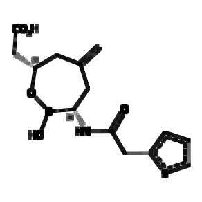 C=C1C[C@@H](CC(=O)O)OB(O)[C@@H](NC(=O)Cc2cccs2)C1